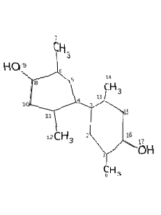 CC1CC(C2CC(C)C(O)CC2C)C(C)CC1O